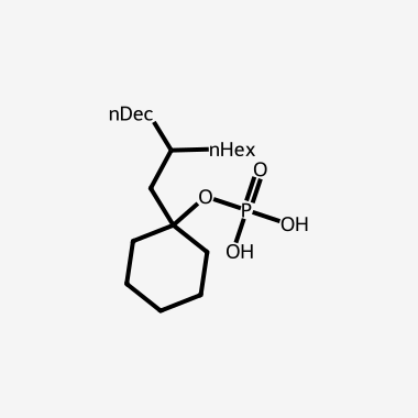 CCCCCCCCCCC(CCCCCC)CC1(OP(=O)(O)O)CCCCC1